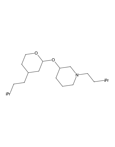 CC(C)CCC1CCOC(OC2CCCN(CCC(C)C)C2)C1